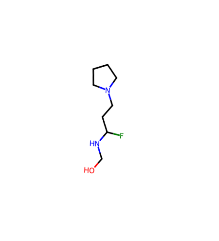 OCNC(F)CCN1CCCC1